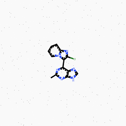 Cc1nc(-c2c(Cl)nc3ccccn23)c2nc[nH]c2n1